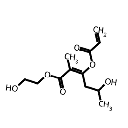 C=CC(=O)OC(CC(C)O)=C(C)C(=O)OCCO